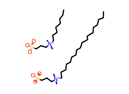 CCCCCCCCCCCCCCCCCC[N+](C)(C)CCCS(=O)(=O)[O-].CCCCCCCC[N+](C)(C)CCCS(=O)(=O)[O-]